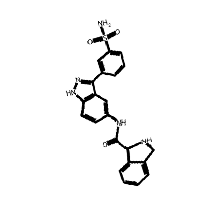 NS(=O)(=O)c1cccc(-c2n[nH]c3ccc(NC(=O)C4NCc5ccccc54)cc23)c1